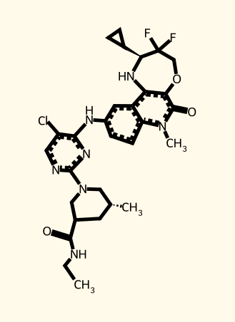 CCNC(=O)C1C[C@@H](C)CN(c2ncc(Cl)c(Nc3ccc4c(c3)c3c(c(=O)n4C)OCC(F)(F)[C@H](C4CC4)N3)n2)C1